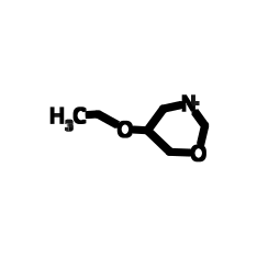 CCOC1C[N]COC1